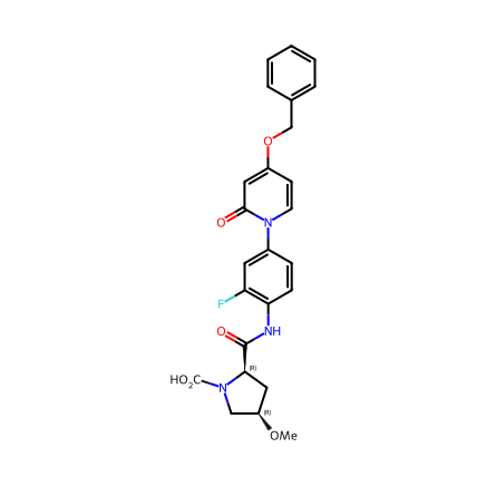 CO[C@@H]1C[C@H](C(=O)Nc2ccc(-n3ccc(OCc4ccccc4)cc3=O)cc2F)N(C(=O)O)C1